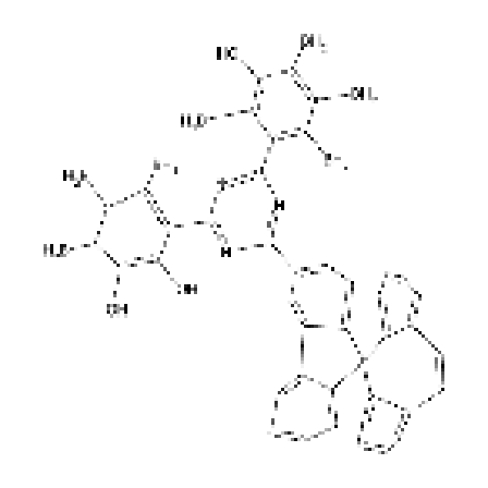 BC1=C(c2nc(-c3ccc4c(c3)-c3ccccc3C43c4ccccc4C=Cc4ccccc43)nc(-c3c(B)c(B)c(B)c(O)c3B)n2)C(O)=C(O)C(B)C1B